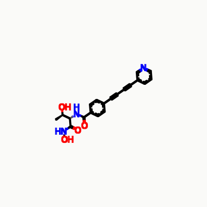 C[C@@H](O)[C@H](NC(=O)c1ccc(C#CC#Cc2cccnc2)cc1)C(=O)NO